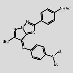 CCN(CC)c1ccc(/N=C2/C(C(C)(C)C)=Nn3nc(-c4ccc(NC(C)=O)cc4)nc32)cc1